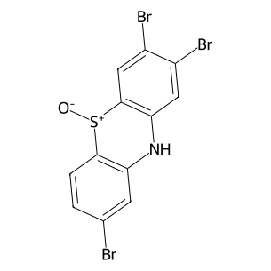 [O-][S+]1c2ccc(Br)cc2Nc2cc(Br)c(Br)cc21